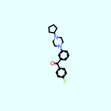 O=C(c1ccc(F)cc1)c1cccc(N2CCN(C3CCCC3)CC2)c1